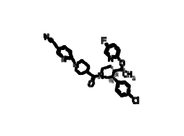 C[C@H](Oc1ccc(F)cn1)[C@H]1CCN(C(=O)C2CCN(c3ccc(C#N)cn3)CC2)C[C@@H]1c1ccc(Cl)cc1